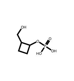 O=P(O)(O)OC1CCC1CO